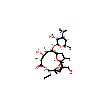 CC[C@H]1OC(=O)[C@H](C)[C@@H](O)[C@H](C)[C@@H](O[C@@H]2O[C@H](C)C[C@H](N(C)C)[C@H]2O)[C@@]2(C)C[C@@H](C)C3(OC1(C)C=C3CO)O2